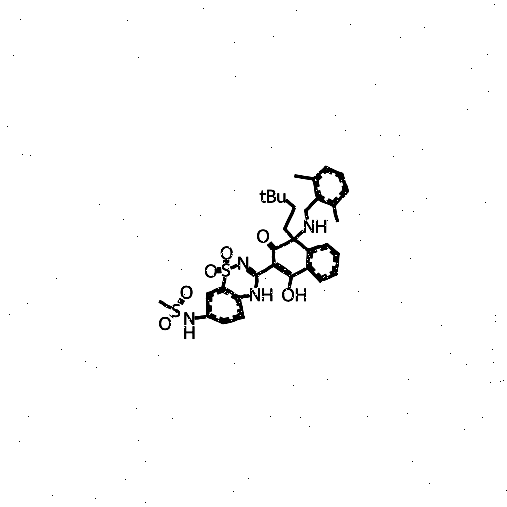 Cc1cccc(C)c1CNC1(CCC(C)(C)C)C(=O)C(C2=NS(=O)(=O)c3cc(NS(C)(=O)=O)ccc3N2)=C(O)c2ccccc21